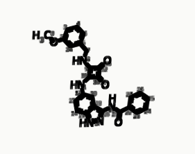 COc1cccc(CNc2c(Nc3ccc4[nH]nc(NC(=O)c5ccccc5)c4c3)c(=O)c2=O)c1